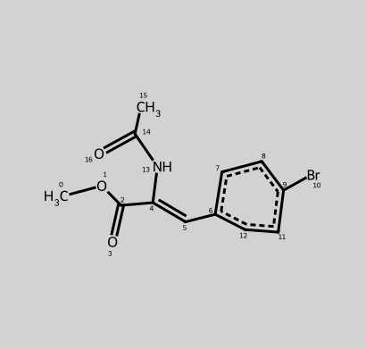 COC(=O)C(=Cc1ccc(Br)cc1)NC(C)=O